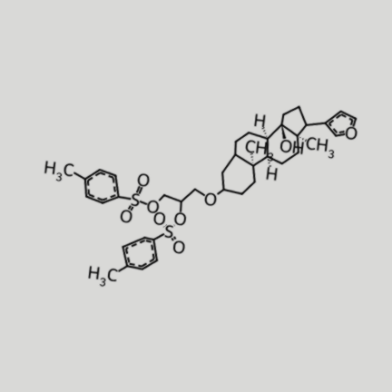 Cc1ccc(S(=O)(=O)OCC(COC2CC[C@@]3(C)C(CC[C@@H]4[C@H]3CC[C@]3(C)C(c5ccoc5)CC[C@@]43O)C2)OS(=O)(=O)c2ccc(C)cc2)cc1